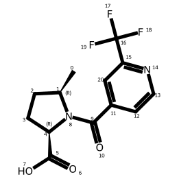 C[C@@H]1CC[C@H](C(=O)O)N1C(=O)c1ccnc(C(F)(F)F)c1